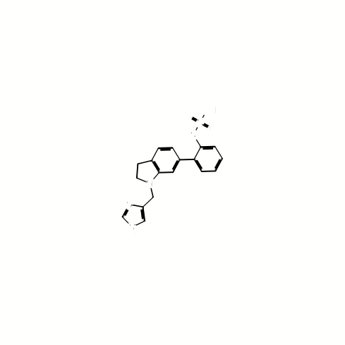 CS(=O)(=O)Nc1ccccc1-c1ccc2c(c1)N(Cc1c[nH]cn1)CC2